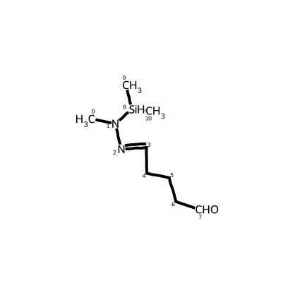 CN(N=CCCCC=O)[SiH](C)C